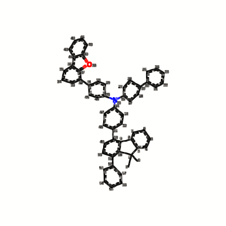 CC1(C)c2ccccc2-c2c(-c3ccc(N(c4ccc(-c5ccccc5)cc4)c4ccc(-c5cccc6c5oc5ccccc56)cc4)cc3)ccc(-c3ccccc3)c21